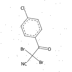 N#CC(Br)(Br)C(=O)c1ccc(Cl)cc1